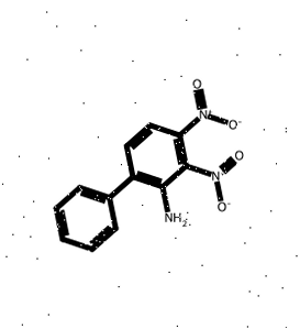 Nc1c(-c2ccccc2)ccc([N+](=O)[O-])c1[N+](=O)[O-]